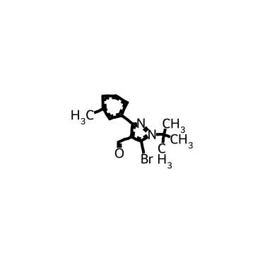 Cc1cccc(-c2nn(C(C)(C)C)c(Br)c2C=O)c1